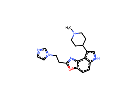 CN1CCC(c2c[nH]c3ccc4oc(CCn5ccnc5)nc4c23)CC1